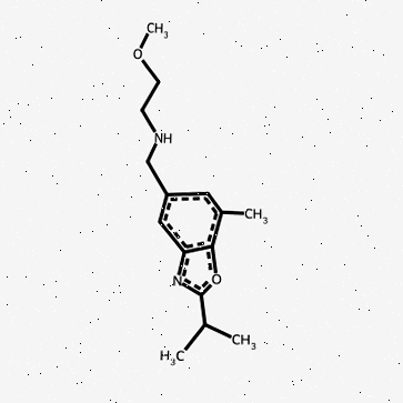 COCCNCc1cc(C)c2oc(C(C)C)nc2c1